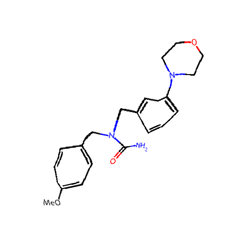 COc1ccc(CN(Cc2cccc(N3CCOCC3)c2)C(N)=O)cc1